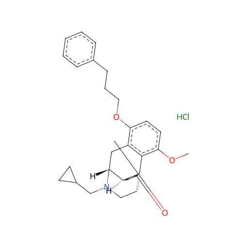 COc1ccc(OCCCc2ccccc2)c2c1[C@]13CCN(CC4CC4)[C@H](C2)[C@@H]1CCC(=O)C3.Cl